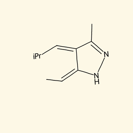 C/C=c1/[nH]nc(C)/c1=C/C(C)C